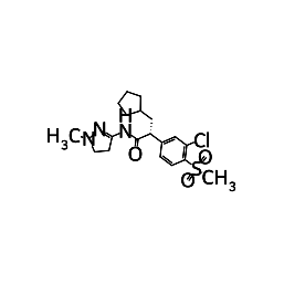 CN1CCC(NC(=O)[C@H](CC2CCCC2)c2ccc(S(C)(=O)=O)c(Cl)c2)=N1